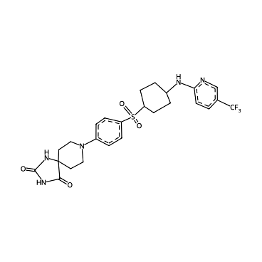 O=C1NC(=O)C2(CCN(c3ccc(S(=O)(=O)C4CCC(Nc5ccc(C(F)(F)F)cn5)CC4)cc3)CC2)N1